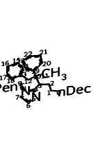 CCCCCCCCCCCCC(c1nccn1CCCCC)C(C)(Cc1ccccc1)c1ccccc1